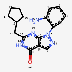 Nc1ccccc1-n1ncc2c(=O)[nH]c(CC3CCCC3)nc21